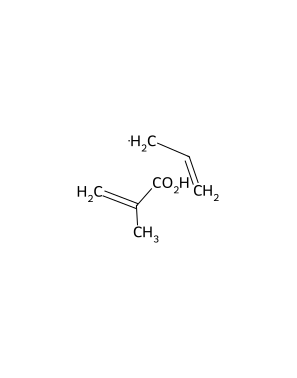 C=C(C)C(=O)O.[CH2]C=C